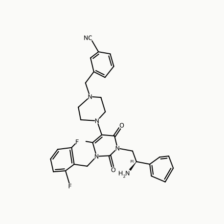 Cc1c(N2CCN(Cc3cccc(C#N)c3)CC2)c(=O)n(C[C@H](N)c2ccccc2)c(=O)n1Cc1c(F)cccc1F